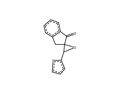 O=C1c2ccccc2CC12OC2c1cccs1